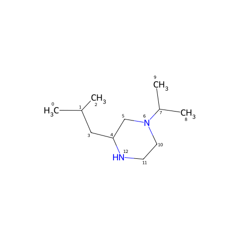 CC(C)CC1CN(C(C)C)CCN1